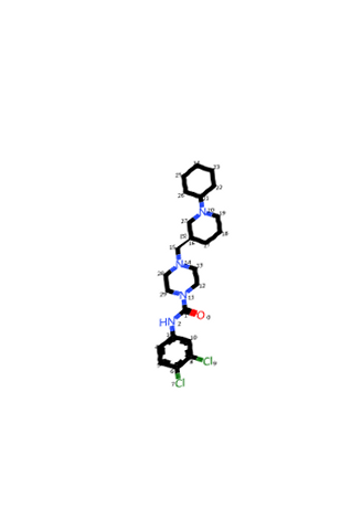 O=C(Nc1ccc(Cl)c(Cl)c1)N1CCN(C[C@@H]2CCCN(C3CC[CH]CC3)C2)CC1